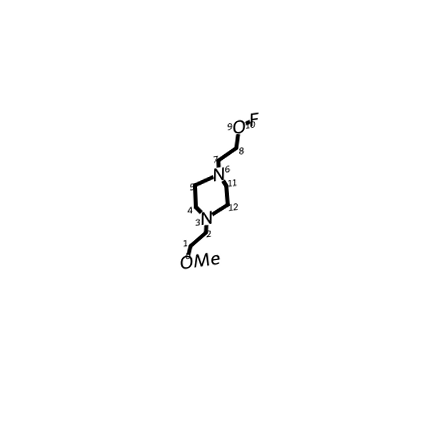 COCCN1CCN(CCOF)CC1